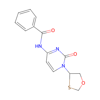 O=C(Nc1ccn(C2COCS2)c(=O)n1)c1ccccc1